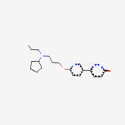 CCCN(CCCOc1ccc(-c2ccc(=O)[nH]n2)cn1)C1CCCC1